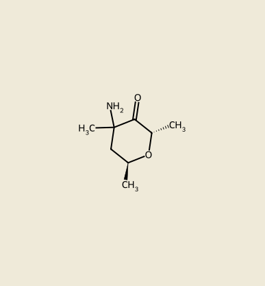 C[C@@H]1O[C@@H](C)CC(C)(N)C1=O